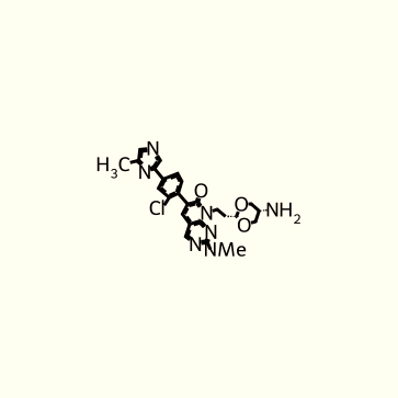 CNc1ncc2cc(-c3ccc(-c4cncc(C)n4)cc3Cl)c(=O)n(CC[C@H]3OC[C@@H](N)CO3)c2n1